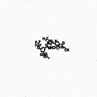 Cc1nc([C@H](C)NC(=O)c2cc(OC(F)(F)C(F)F)cc(S(C)(=O)=O)c2)n(-c2cnc(C(=O)NCC#N)cn2)n1